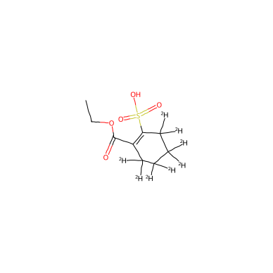 [2H]C1([2H])C(C(=O)OCC)=C(S(=O)(=O)O)C([2H])([2H])C([2H])([2H])C1([2H])[2H]